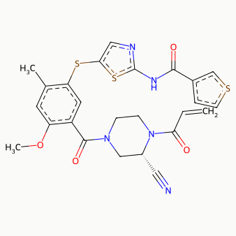 C=CC(=O)N1CCN(C(=O)c2cc(Sc3cnc(NC(=O)c4ccsc4)s3)c(C)cc2OC)C[C@H]1C#N